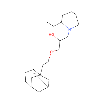 CCC1CCCCN1CC(O)COCCC12CC3CC(CC(C3)C1)C2